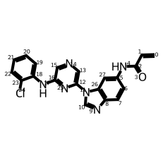 C=CC(=O)Nc1ccc2ncn(-c3cncc(Nc4ccccc4Cl)n3)c2c1